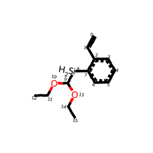 C=Cc1ccccc1[SiH2]C(OCC)OCC